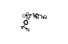 CON=Cc1cn(C[C@H]2CN(c3ccc(C4(C#N)CC4)cc3)C(=O)O2)nn1